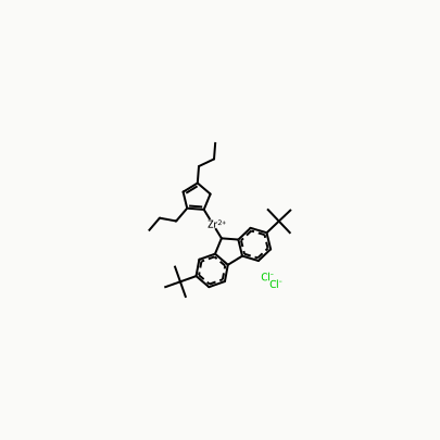 CCCC1=CC(CCC)=[C]([Zr+2][CH]2c3cc(C(C)(C)C)ccc3-c3ccc(C(C)(C)C)cc32)C1.[Cl-].[Cl-]